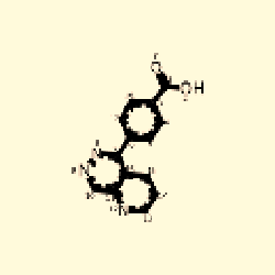 O=C(O)c1ccc(-c2nncc3ncccc23)cc1